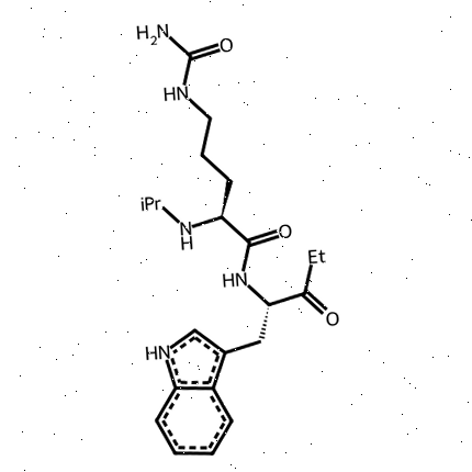 CCC(=O)[C@H](Cc1c[nH]c2ccccc12)NC(=O)[C@H](CCCNC(N)=O)NC(C)C